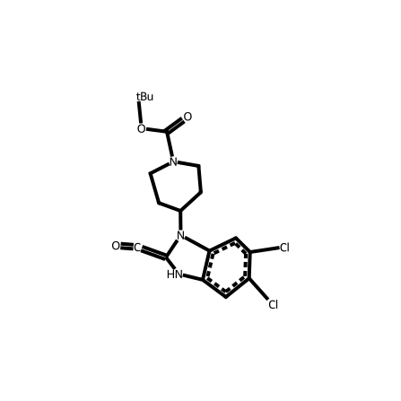 CC(C)(C)OC(=O)N1CCC(N2C(=C=O)Nc3cc(Cl)c(Cl)cc32)CC1